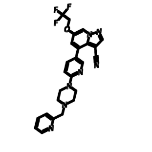 N#Cc1cnn2cc(OCC(F)(F)F)cc(-c3ccc(N4CCN(Cc5ccccn5)CC4)nc3)c12